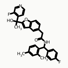 Cc1ccc(C(NC(=O)Cc2ccc3oc(C(C)(O)c4ccncc4F)cc3c2)c2ccc(F)cc2)c(C)c1